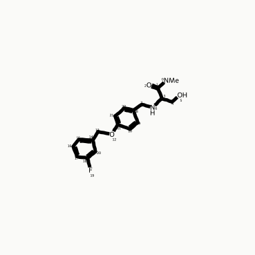 CNC(=O)C(CO)NCc1ccc(OCc2cccc(F)c2)cc1